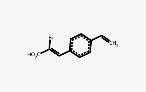 C=Cc1ccc(C=C(Br)C(=O)O)cc1